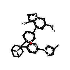 CCNc1cc(-c2ccc(N3CC4CC(C3)N4Cc3ccc(-n4cc(I)cn4)nc3)nc2)c2c(C#N)cnn2c1